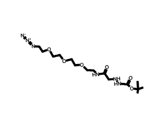 CC(C)(C)OC(=O)NNCC(=O)NCCOCCOCCOCCN=[N+]=[N-]